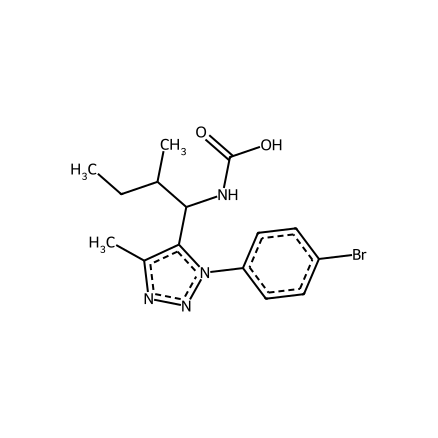 CCC(C)C(NC(=O)O)c1c(C)nnn1-c1ccc(Br)cc1